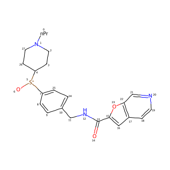 CCCN1CCC([S+]([O-])c2ccc(CNC(=O)c3cc4ccncc4o3)cc2)CC1